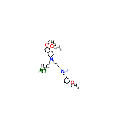 CCCN(CCCCCCNCCc1cccc(OC)c1)[C@H]1CCc2c(ccc(OC)c2OC)C1.Cl.Cl